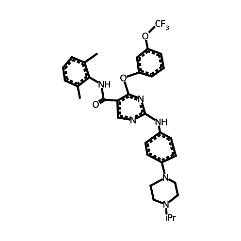 Cc1cccc(C)c1NC(=O)c1cnc(Nc2ccc(N3CCN(C(C)C)CC3)cc2)nc1Oc1cccc(OC(F)(F)F)c1